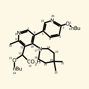 CCCCOc1ccc(-c2cnc(C)c(C(OCCCC)C(=O)O)c2N2CCC(C)(C)CC2)cn1